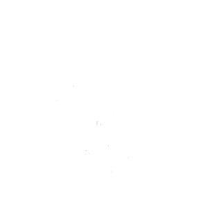 CC(C)(C)OC(=O)C(NC(=N)N)(OC(=O)c1ccccc1)C(=O)OC(C)(C)C